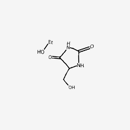 CCO.O=C1NC(=O)C(CO)N1